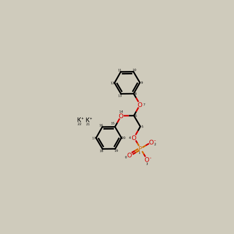 O=P([O-])([O-])OCC(Oc1ccccc1)Oc1ccccc1.[K+].[K+]